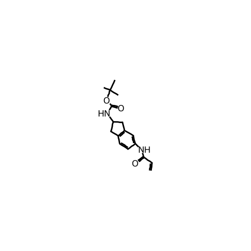 C=CC(=O)Nc1ccc2c(c1)CC(NC(=O)OC(C)(C)C)C2